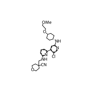 COCCO[C@H]1CC[C@H](Nc2cc(-c3cccc(NCC4(C#N)CCOCC4)n3)c(Cl)cn2)CC1